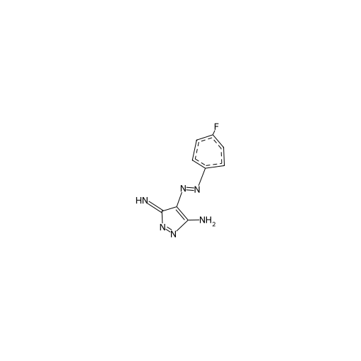 N=C1N=NC(N)=C1/N=N/c1ccc(F)cc1